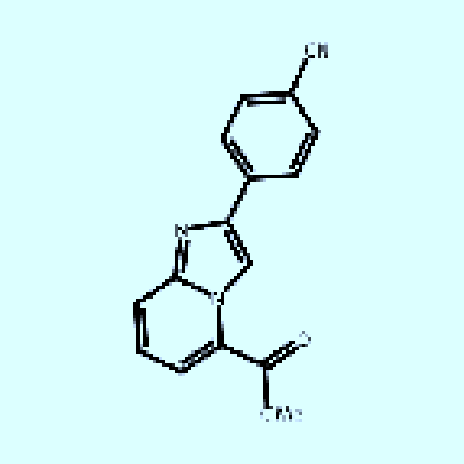 COC(=O)c1cccc2nc(-c3ccc(C#N)cc3)cn12